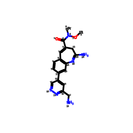 CCCN(OCC)C(=O)C1=Cc2ccc(-c3cnnc(CN)c3)cc2N=C(N)C1